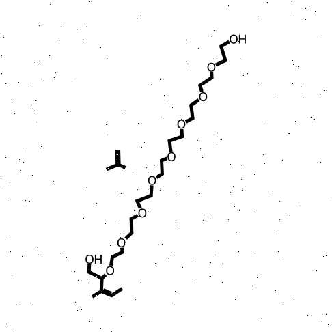 C=C(C)C.CC=C(C)C(CO)OCCOCCOCCOCCOCCOCCOCCOCCO